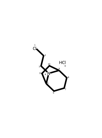 Cl.ClCCN1C2CCCC1CC2